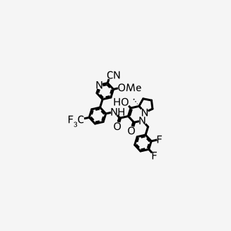 COc1cc(-c2cc(C(F)(F)F)ccc2NC(=O)C2=C(O)[C@@]3(C)CCCN3N(Cc3cccc(F)c3F)C2=O)cnc1C#N